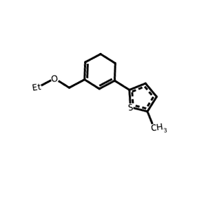 CCOCC1=CCCC(c2ccc(C)s2)=C1